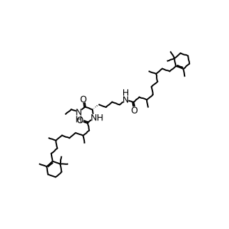 CCNC(=O)[C@H](CCCCNC(=O)CC(C)CCCC(C)CCC1=C(C)CCCC1(C)C)NC(=O)CC(C)CCCC(C)CCC1=C(C)CCCC1(C)C